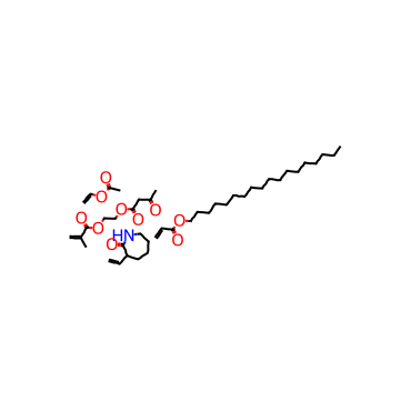 C=C(C)C(=O)OCCOC(=O)CC(C)=O.C=CC(=O)OCCCCCCCCCCCCCCCCCC.C=CC1CCCCNC1=O.C=COC(C)=O